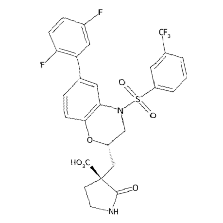 O=C(O)[C@]1(C[C@H]2CN(S(=O)(=O)c3cccc(C(F)(F)F)c3)c3cc(-c4cc(F)ccc4F)ccc3O2)CCNC1=O